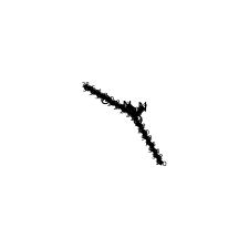 CCCCCCCCCCCCCCOCC(CC#N)(CC#N)CCCCCCCCOCCCCCCC